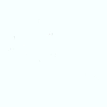 COC1C(O)C(O)[C@H](Oc2ccc3oc(=O)ccc3c2)OC1(C)C